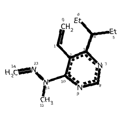 C=Cc1c(C(CC)CC)ncnc1N(C)N=C